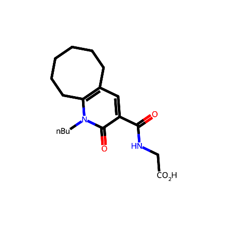 CCCCn1c2c(cc(C(=O)NCC(=O)O)c1=O)CCCCCC2